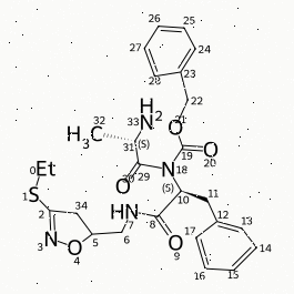 CCSC1=NOC(CNC(=O)[C@H](Cc2ccccc2)N(C(=O)OCc2ccccc2)C(=O)[C@H](C)N)C1